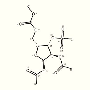 COC(=O)OC[C@H]1O[C@H](OC(C)=O)[C@H](OC(C)=O)[C@H]1OS(C)(=O)=O